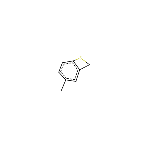 Cc1ccc2c(c1)CS2